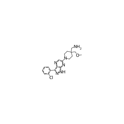 COCC1(CN)CCN(c2cnc3c(-c4ccccc4Cl)n[nH]c3n2)CC1